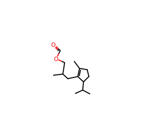 CC1=C(CC(C)COC=O)C(C(C)C)CC1